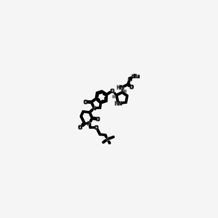 CC(C)(C)OC(=O)N[C@@H]1CCNC[C@H]1Oc1ccc2c(c1)CN(C1CCC(=O)N(COCCS(C)(C)C)C1=O)C2=O